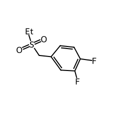 CCS(=O)(=O)Cc1ccc(F)c(F)c1